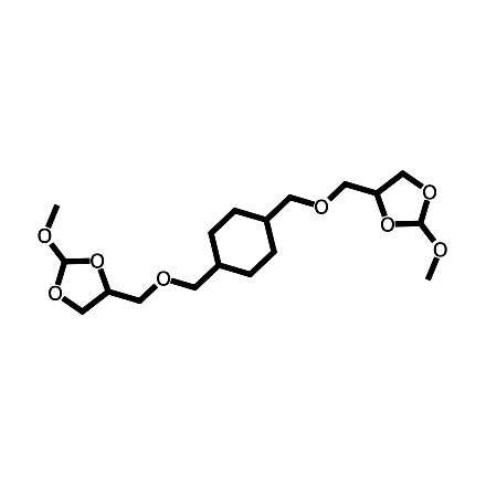 COC1OCC(COCC2CCC(COCC3COC(OC)O3)CC2)O1